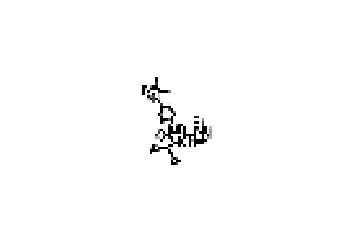 CCn1nccc1C(=O)N[C@H](C(=O)Nc1ccc(-n2cnc(C)c2C)cc1)C(C1CC1)C1CC1